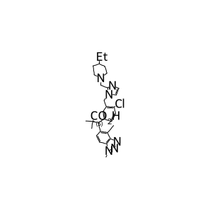 CCC1CCN(Cc2nccn2Cc2cc([C@@H](c3ccc4c(nnn4C)c3C)C(C)(C)C(=O)O)ccc2Cl)CC1